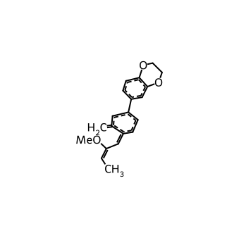 C=c1cc(-c2ccc3c(c2)OCCO3)cc/c1=C/C(=C\C)OC